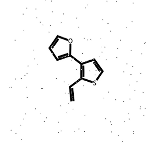 C=Cc1sccc1-c1ccco1